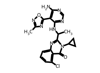 Cc1noc(-c2c(N)ncnc2NC(C)c2nc3cccc(Cl)c3c(=O)n2C2CC2)n1